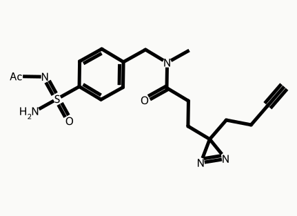 C#CCCC1(CCC(=O)N(C)Cc2ccc(S(N)(=O)=NC(C)=O)cc2)N=N1